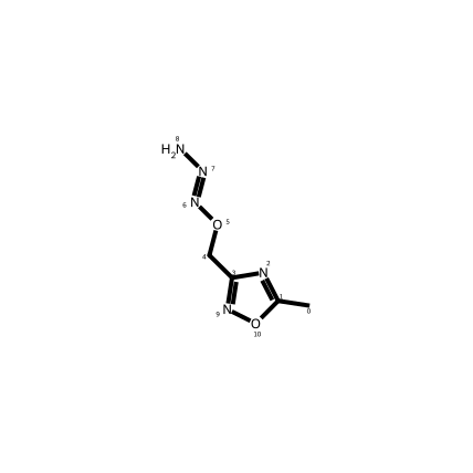 Cc1nc(CON=NN)no1